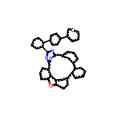 c1ccc(-c2ccc(-c3ccccc3-c3nc4nc(n3)c3cccc5oc6ccc(cc6c53)c3ccccc3c3cccc4c3)cc2)cc1